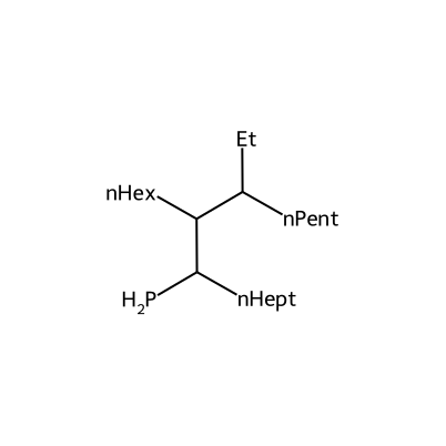 CCCCCCCC(P)C(CCCCCC)C(CC)CCCCC